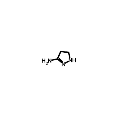 NC1=NNCC1